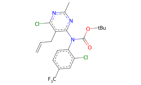 C=CCc1c(Cl)nc(C)nc1N(C(=O)OC(C)(C)C)c1ccc(C(F)(F)F)cc1Cl